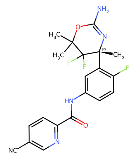 CC1(C)OC(N)=N[C@](C)(c2cc(NC(=O)c3ccc(C#N)cn3)ccc2F)C1(F)F